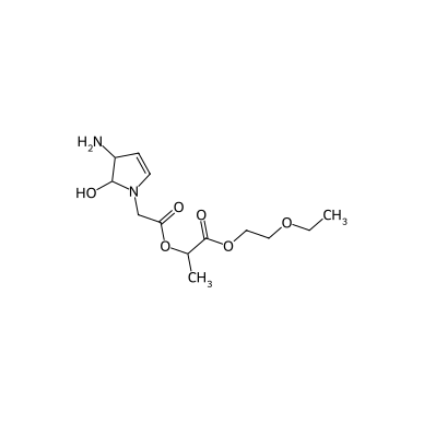 CCOCCOC(=O)C(C)OC(=O)CN1C=CC(N)C1O